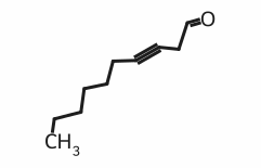 CCCCCCC#CCC=O